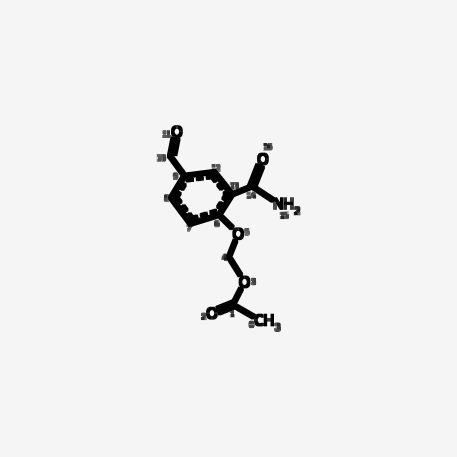 CC(=O)OCOc1ccc(C=O)cc1C(N)=O